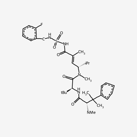 CN[C@H](C(=O)N[C@H](C(=O)N(C)[C@H](/C=C(\C)C(=O)NS(=O)(=O)NCc1ccccc1F)C(C)C)C(C)(C)C)C(C)(C)c1ccccc1